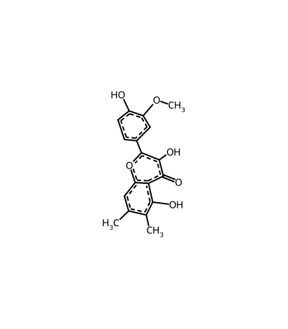 COc1cc(-c2oc3cc(C)c(C)c(O)c3c(=O)c2O)ccc1O